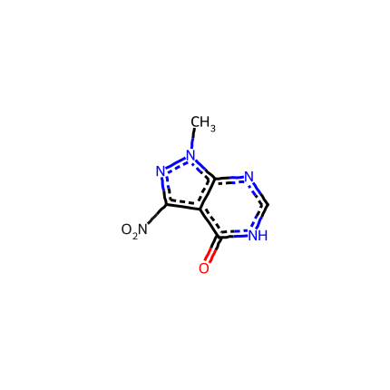 Cn1nc([N+](=O)[O-])c2c(=O)[nH]cnc21